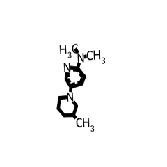 CC1CCCN(c2ccc(N(C)C)nc2)C1